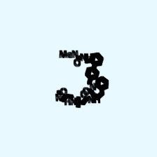 CNC(=O)NCc1ccccc1-c1ccc(CN2C(=O)[C@H](NC(=O)CC(C)(C)NCc3cnco3)CCc3ccccc32)cc1